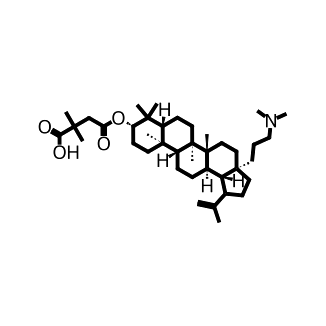 C=C(C)C1CC[C@]2(CCCN(C)C)CC[C@]3(C)[C@H](CC[C@@H]4[C@@]5(C)CC[C@H](OC(=O)CC(C)(C)C(=O)O)C(C)(C)[C@@H]5CC[C@]43C)[C@@H]12